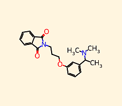 CC(c1cccc(OCCCN2C(=O)c3ccccc3C2=O)c1)N(C)C